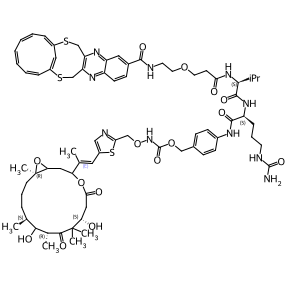 C/C(=C\c1cnc(CONC(=O)OCc2ccc(NC(=O)[C@H](CCCNC(N)=O)NC(=O)[C@@H](NC(=O)CCOCCNC(=O)c3ccc4nc5c(nc4c3)CSc3cccccccc(c3)SC5)C(C)C)cc2)s1)C1CC2O[C@]2(C)CCC[C@H](C)C(O)[C@@H](C)C(=O)C(C)(C)[C@@H](O)CC(=O)O1